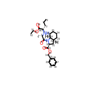 CCC[C@H](N[C@@H](C)C(=O)N1[C@H](C(=O)OCc2ccccc2)C[C@@H]2CCCC[C@@H]21)C(=O)OCC